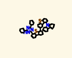 c1ccc(C2=NC(c3ccccc3)NC(c3cccc4c3sc3c(-c5ccc6sc7cccc(-n8c9ccccc9c9ccccc98)c7c6c5)cccc34)=N2)cc1